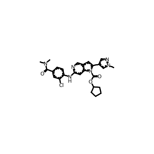 CN(C)C(=O)c1ccc(Nc2cc3c(cn2)cc(-c2cnn(C)c2)n3C(=O)OC2CCCC2)c(Cl)c1